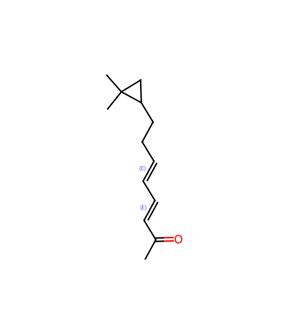 CC(=O)/C=C/C=C/CCC1CC1(C)C